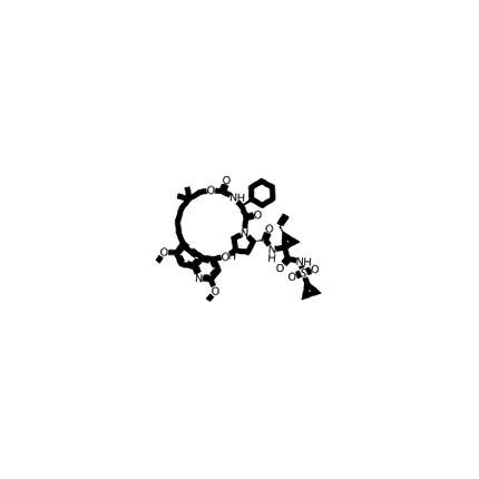 C=C[C@@H]1CC1(NC(=O)[C@@H]1C[C@@H]2CN1C(=O)[C@H](C1CCCCC1)NC(=O)OCC(C)(C)CCCc1cc3c(cc(OC)nc3cc1OC)O2)C(=O)NS(=O)(=O)C1CC1